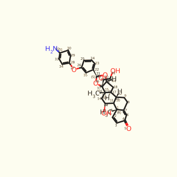 C[C@]12C=CC(=O)C=C1CC[C@@H]1C2[C@@H](O)C[C@@]2(C)[C@H]1C[C@H]1O[C@H](c3cccc(Oc4ccc(N)cc4)c3)O[C@]12C(=O)CO